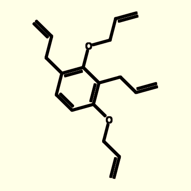 C=CCOc1ccc(CC=C)c(OCC=C)c1CC=C